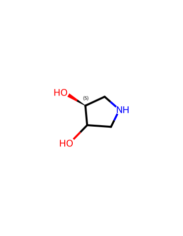 OC1CNC[C@@H]1O